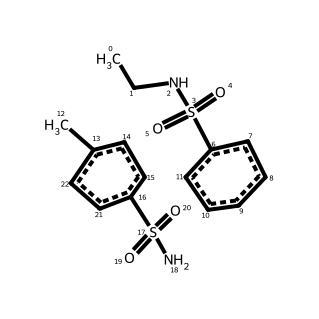 CCNS(=O)(=O)c1ccccc1.Cc1ccc(S(N)(=O)=O)cc1